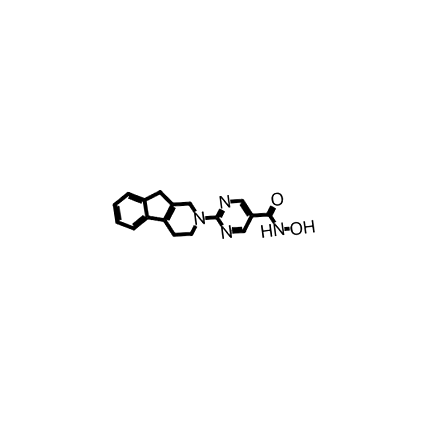 O=C(NO)c1cnc(N2CCC3=C(Cc4ccccc43)C2)nc1